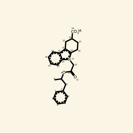 CC(Cc1ccccc1)OC(=O)Cn1c2c(c3ccccc31)CC(C(=O)O)CC2